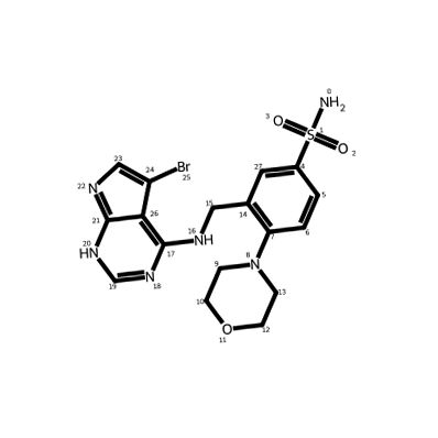 NS(=O)(=O)c1ccc(N2CCOCC2)c(CNc2nc[nH]c3ncc(Br)c2-3)c1